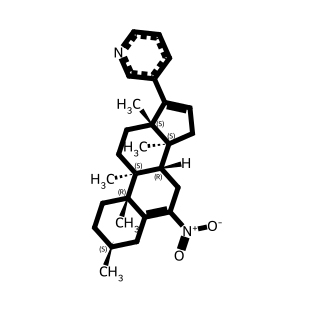 C[C@H]1CC[C@@]2(C)C(=C([N+](=O)[O-])C[C@@H]3[C@]2(C)CC[C@]2(C)C(c4cccnc4)=CC[C@@]32C)C1